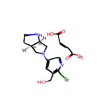 O=C(O)C=CC(=O)O.OCc1cc(N2C[C@H]3CCN[C@H]3C2)cnc1Br